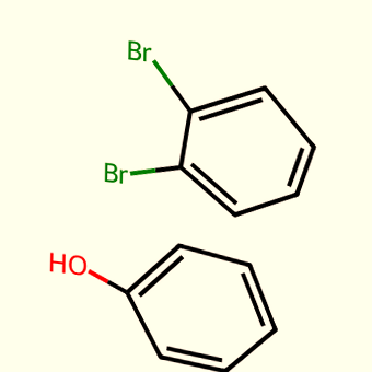 Brc1ccccc1Br.Oc1ccccc1